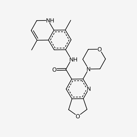 CC1=CCNc2c(C)cc(NC(=O)c3cc4c(nc3N3CCOCC3)COC4)cc21